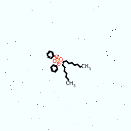 CCCCCCCC(CCCCCCC)OP(=O)(Oc1ccccc1)Oc1ccccc1